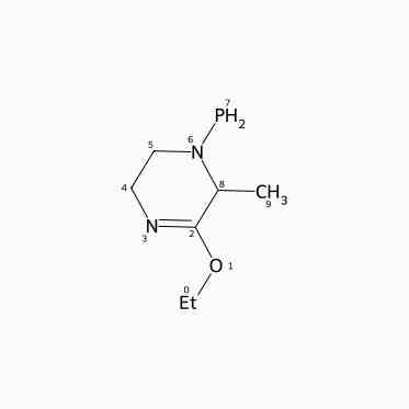 CCOC1=NCCN(P)C1C